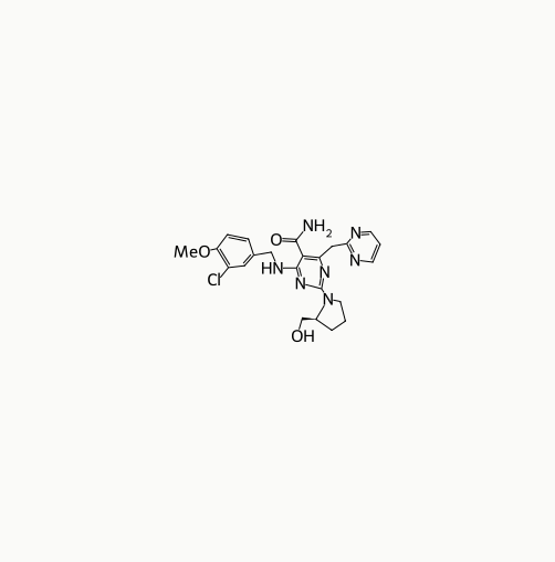 COc1ccc(CNc2nc(N3CCC[C@H]3CO)nc(Cc3ncccn3)c2C(N)=O)cc1Cl